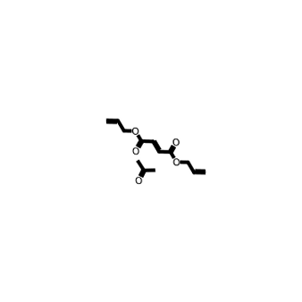 C=CCOC(=O)C=CC(=O)OCC=C.CC(C)=O